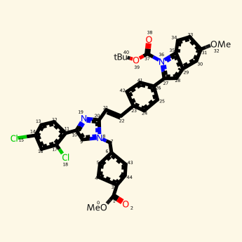 COC(=O)c1ccc(Cn2cc(-c3ccc(Cl)cc3Cl)nc2C=Cc2ccc(-c3cc4cc(OC)ccc4n3C(=O)OC(C)(C)C)cc2)cc1